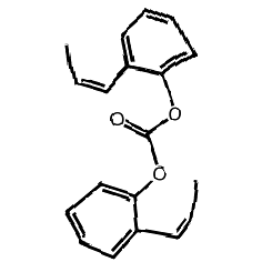 C/C=C\c1ccccc1OC(=O)Oc1ccccc1/C=C\C